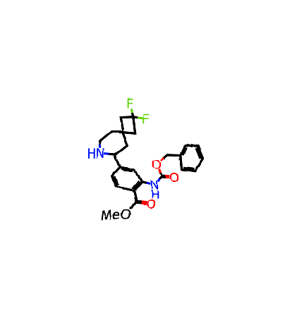 COC(=O)c1ccc(C2CC3(CCN2)CC(F)(F)C3)cc1NC(=O)OCc1ccccc1